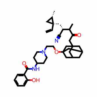 C=C[C@@]1(C[C@@H](C#N)C(C)C(=O)CC23CC4CC(C2)CC(OCCN2CCC(NC(=O)c5ccccc5O)CC2)(C4)C3)C[C@@H]1C